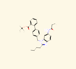 CCCCc1nc2ccc(NC(=O)CC)cc2n1Cc1ccc(-c2ccccc2C(=O)OC(C)(C)C)cc1